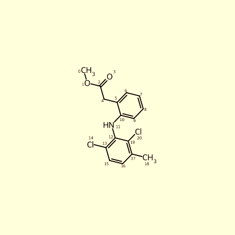 COC(=O)Cc1ccccc1Nc1c(Cl)ccc(C)c1Cl